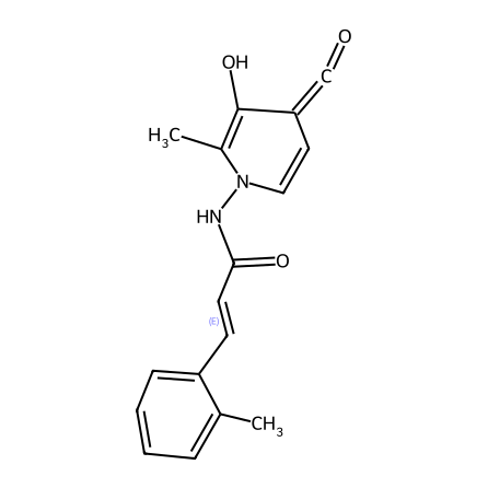 CC1=C(O)C(=C=O)C=CN1NC(=O)/C=C/c1ccccc1C